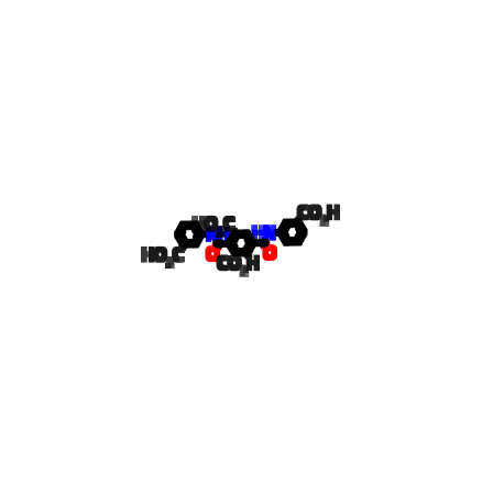 O=C(O)c1cccc(NC(=O)c2cc(C(=O)O)c(C(=O)Nc3cccc(C(=O)O)c3)cc2C(=O)O)c1